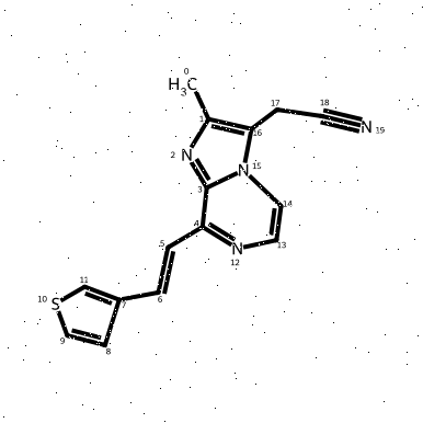 Cc1nc2c(C=Cc3ccsc3)nccn2c1CC#N